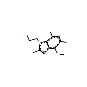 COc1c(F)cc(F)c2c1cc(C)n2CCN